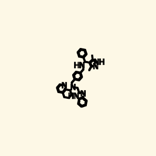 Cc1n[nH]c(C)c1C(NCc1ccc(CN(Cc2nc3ccccc3[nH]2)C2CCCc3cccnc32)cc1)c1ccccc1